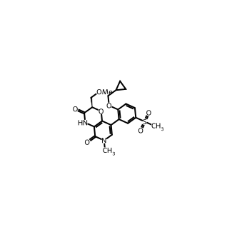 COC[C@H]1Oc2c(-c3cc(S(C)(=O)=O)ccc3OCC3CC3)cn(C)c(=O)c2NC1=O